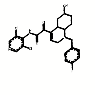 O=C(Nc1c(Cl)cncc1Cl)C(=O)C1=CCN(Cc2ccc(F)cc2)C2CCC(O)CC12